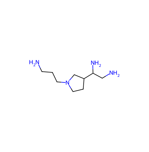 NCCCN1CCC(C(N)CN)C1